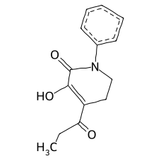 CCC(=O)C1=C(O)C(=O)N(c2ccccc2)CC1